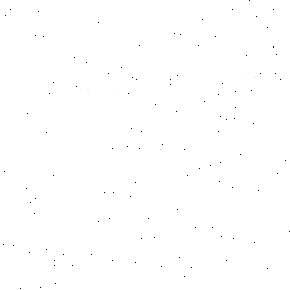 COCCO[Si](CCC(=O)O)(OCCOC)c1ccccc1